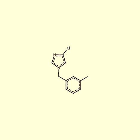 Cc1cccc(Cn2cnc(Cl)c2)c1